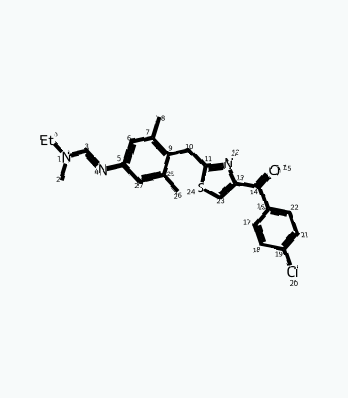 CCN(C)C=Nc1cc(C)c(Cc2nc(C(=O)c3ccc(Cl)cc3)cs2)c(C)c1